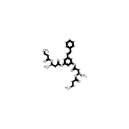 CCCC(=O)O[C@H](C)CC(=O)Oc1cc(/C=C/c2cc[c]cc2)cc(OC(=O)C[C@@H](C)OC(=O)CCC)c1